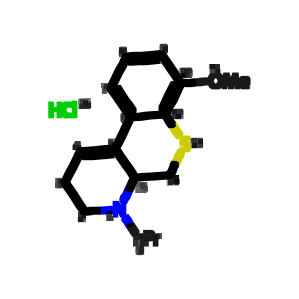 CCCN1CCC=C2c3cccc(OC)c3SCC21.Cl